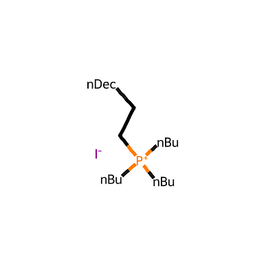 CCCCCCCCCCCC[P+](CCCC)(CCCC)CCCC.[I-]